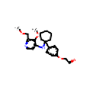 COCc1nccc(NC2(c3ccc(OCC=O)cc3)CCCCC2)c1OC